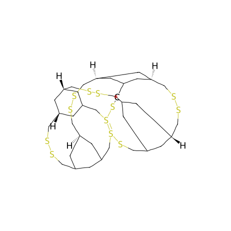 C1SSC[C@H]2CC3C[C@@H](CSSCC4CC5CS/S6=S(/C3)SCC3C[C@@H](CSSC[C@@H]7CC1CC(C7)C6)C[C@@H](CSSC[C@@H](C4)C5)C3)C2